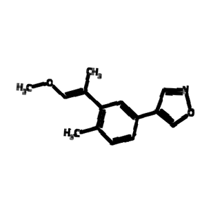 COC=C(C)c1cc(-c2cnoc2)ccc1C